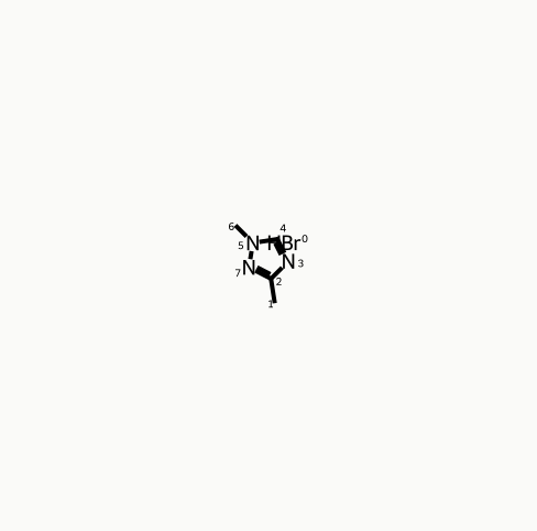 Br.Cc1ncn(C)n1